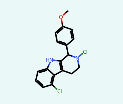 COc1ccc(C2c3[nH]c4cccc(Cl)c4c3CCN2Cl)cc1